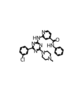 CN1CCN(c2nc(Nc3cc(C(=O)Nc4ccccc4)ccn3)nc(-c3cccc(Cl)c3)n2)CC1